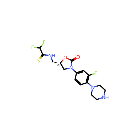 O=C1O[C@@H](CNC(=S)C(F)F)CN1c1ccc(N2CCNCC2)c(F)c1